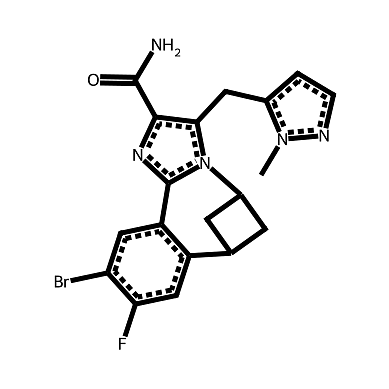 Cn1nccc1Cc1c(C(N)=O)nc2n1C1CC(C1)c1cc(F)c(Br)cc1-2